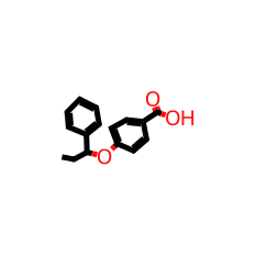 CCC(Oc1ccc(C(=O)O)cc1)c1ccccc1